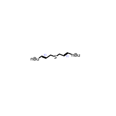 CCCC/C=C/CSC/C=C/CCCC